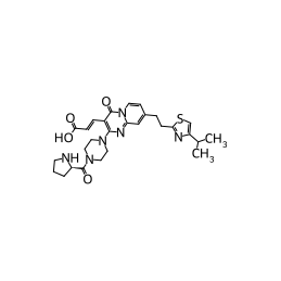 CC(C)c1csc(CCc2ccn3c(=O)c(/C=C/C(=O)O)c(N4CCN(C(=O)[C@H]5CCCN5)CC4)nc3c2)n1